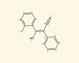 Cc1ncccc1/C(O)=C(\C#N)c1ccccc1